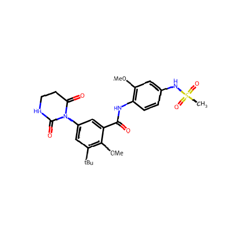 COc1cc(NS(C)(=O)=O)ccc1NC(=O)c1cc(N2C(=O)CCNC2=O)cc(C(C)(C)C)c1OC